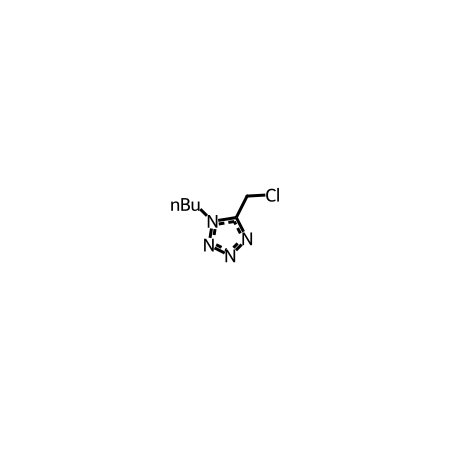 CCCCn1nnnc1CCl